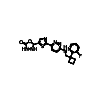 O=C1NNC(c2cnc(-c3ccc(NCC4(c5ncccc5F)CCC4)nn3)s2)O1